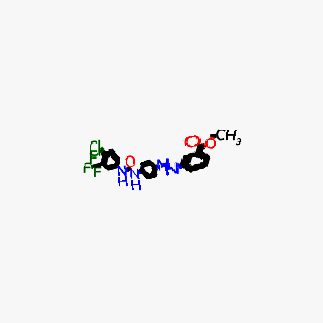 CCOC(=O)c1cccc(N=Nc2ccc(NC(=O)Nc3ccc(Cl)c(C(F)(F)F)c3)cc2)c1